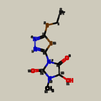 CC(C)CSc1nnc(N2C(=O)C(O)N(C)C2=O)s1